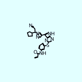 C=CC(=O)Nc1cccc(Sc2cnc3[nH]cc(-c4cnn(C(CC#N)C5CCCC5)c4)c3n2)c1